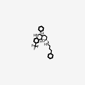 FC(F)(F)c1ccc2c(c1)[C@H]1O[C@@H](CNCCCc3ccccc3)CC[C@H]1[C@H](c1ccccc1)N2